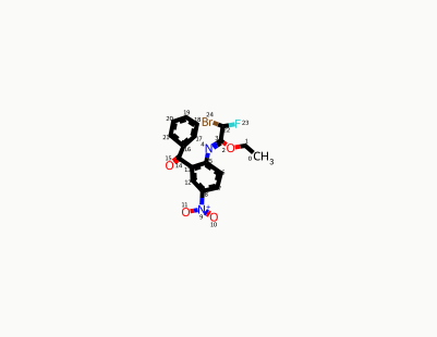 CCOC(=Nc1ccc([N+](=O)[O-])cc1C(=O)c1ccccc1)C(F)Br